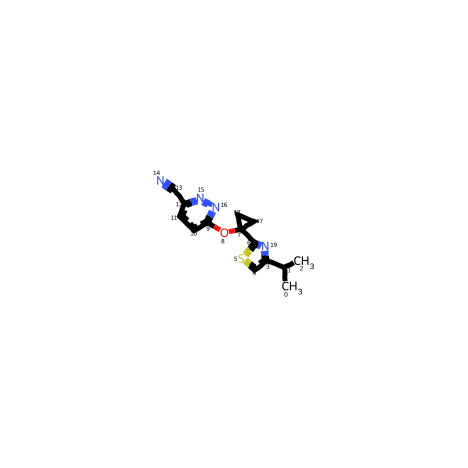 CC(C)c1csc(C2(Oc3ccc(C#N)nn3)CC2)n1